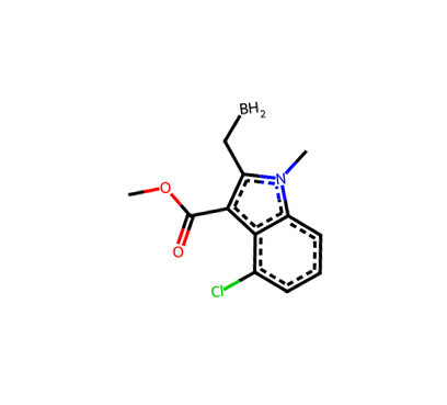 BCc1c(C(=O)OC)c2c(Cl)cccc2n1C